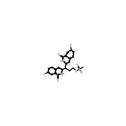 CS(=O)(=O)OCCC(c1cc2ccc(F)cc2c(=O)[nH]1)c1cc2ccc(F)cc2c(=O)[nH]1